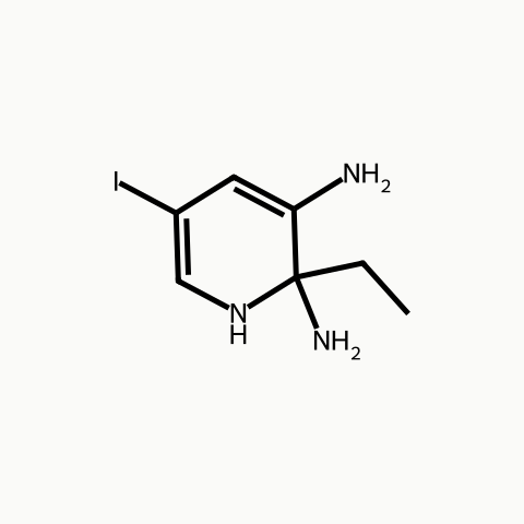 CCC1(N)NC=C(I)C=C1N